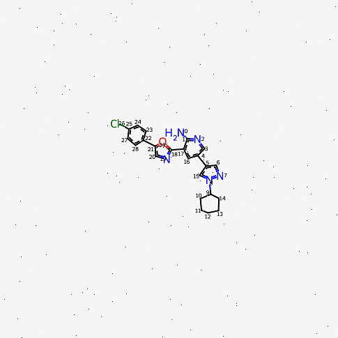 Nc1ncc(-c2cnn(C3CCCCC3)c2)cc1-c1ncc(-c2ccc(Cl)cc2)o1